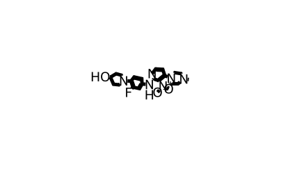 CN1CCN(c2ccnc(Nc3ccc(N4CCC(O)CC4)c(F)c3)c2[N+](=O)[O-])CC1